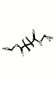 CC(C)(C(=O)OCO)C(C)(C)C(=O)OCO